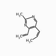 C=Cc1nc(C)ncc1/C=C\C